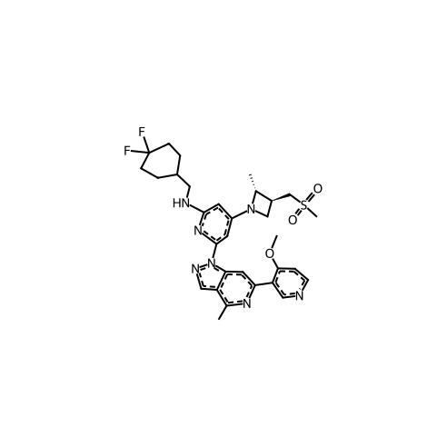 COc1ccncc1-c1cc2c(cnn2-c2cc(N3C[C@H](CS(C)(=O)=O)[C@H]3C)cc(NCC3CCC(F)(F)CC3)n2)c(C)n1